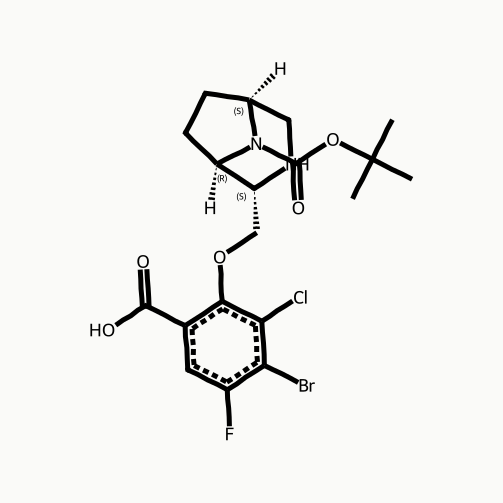 CC(C)(C)OC(=O)N1[C@H]2CC[C@@H]1[C@@H](COc1c(C(=O)O)cc(F)c(Br)c1Cl)NC2